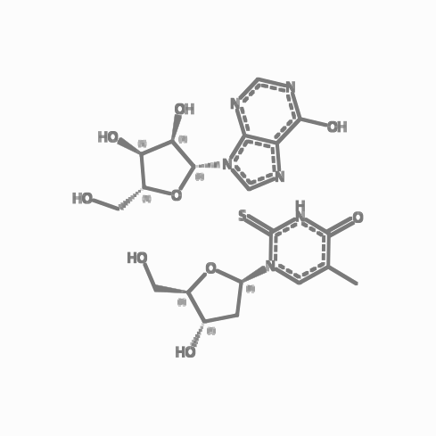 Cc1cn([C@H]2C[C@H](O)[C@@H](CO)O2)c(=S)[nH]c1=O.OC[C@H]1O[C@@H](n2cnc3c(O)ncnc32)[C@H](O)[C@@H]1O